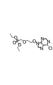 CCOP(=O)(COCCOn1cnc2c(Cl)ncnc21)OCC